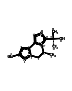 C[C@H]1Cn2nc(C(C)(C)C)cc2-c2cnc([C@@](C)(O)C(F)(F)F)n21